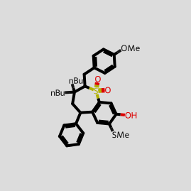 CCCCC1(CCCC)CC(c2ccccc2)c2cc(SC)c(O)cc2S(=O)(=O)C1Cc1ccc(OC)cc1